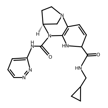 O=C(NCC1CC1)C1C=CC2=C(N1)N(C(=O)Nc1cccnn1)[C@H]1CCN2C1